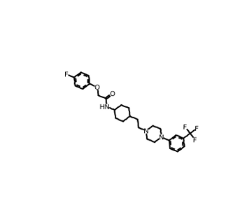 O=C(COc1ccc(F)cc1)NC1CCC(CCN2CCN(c3cccc(C(F)(F)F)c3)CC2)CC1